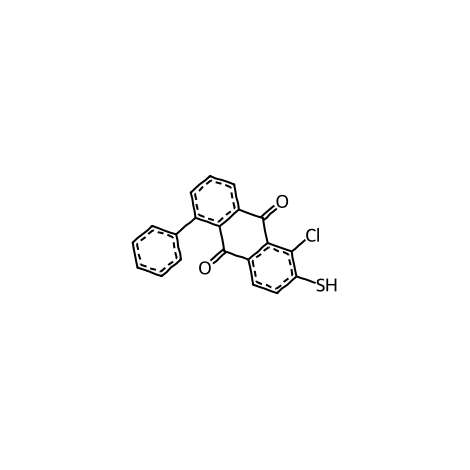 O=C1c2ccc(S)c(Cl)c2C(=O)c2cccc(-c3ccccc3)c21